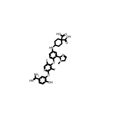 CN1CC=NC1c1cc(NC2CCC(C(=O)O)(C(=O)O)CC2)ccc1Oc1c(F)cnc(Oc2cc(C(=N)N)ccc2O)c1F